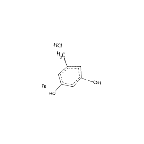 Cc1cc(O)cc(O)c1.Cl.[Fe]